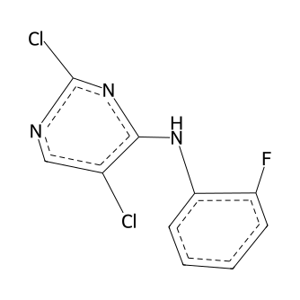 Fc1ccccc1Nc1nc(Cl)ncc1Cl